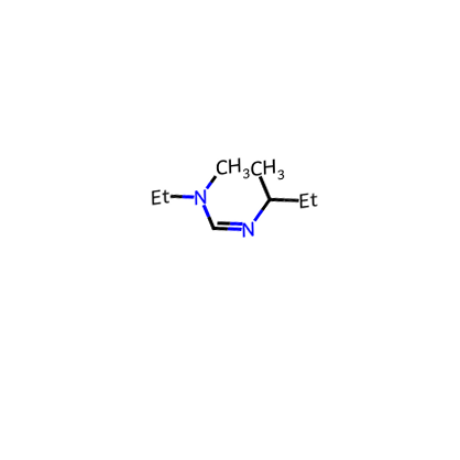 CCC(C)/N=C\N(C)CC